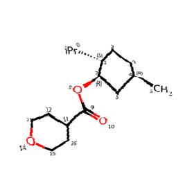 CC(C)[C@@H]1CC[C@@H](C)C[C@H]1OC(=O)C1CCOCC1